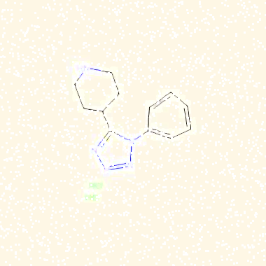 Cl.Cl.c1ccc(-n2nnnc2C2CCNCC2)cc1